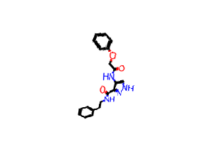 O=C(COc1ccccc1)Nc1c[nH]nc1C(=O)NCCc1ccccc1